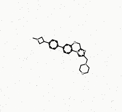 CN1CC(c2ccc(-c3ccc4c(c3)OCc3nc(CN5CCOCC5)cn3-4)cc2)C1